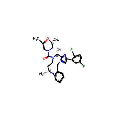 CC1CN(C(=O)N(CC[C@@H](C)N)[C@@H](c2nc(-c3cc(F)ccc3F)cn2Cc2ccccc2)C(C)(C)C)C[C@@H](C)O1